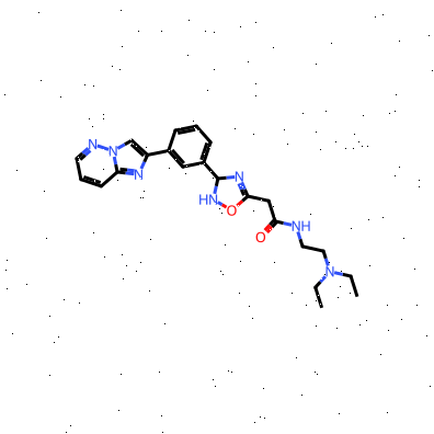 CCN(CC)CCNC(=O)CC1=NC(c2cccc(-c3cn4ncccc4n3)c2)NO1